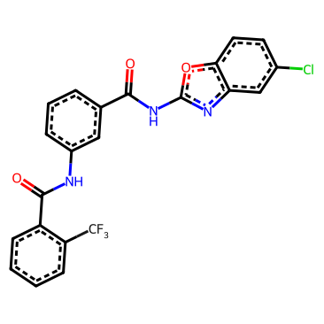 O=C(Nc1nc2cc(Cl)ccc2o1)c1cccc(NC(=O)c2ccccc2C(F)(F)F)c1